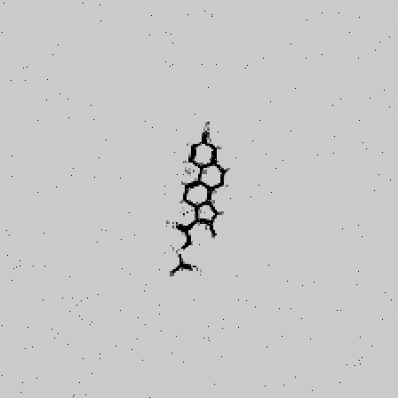 CC(=O)OCC(=O)C1=C(C)CC2C3CCC4=CC(=O)C=C[C@]4(C)C3=CC[C@]12C